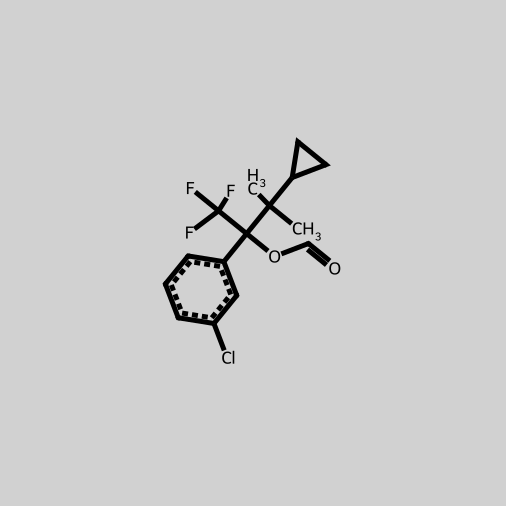 CC(C)(C1CC1)C(OC=O)(c1cccc(Cl)c1)C(F)(F)F